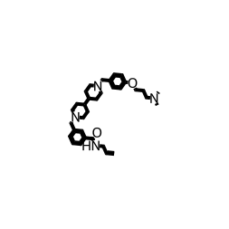 C=CCNC(=O)c1cccc(CN2CCC(C3CCN(Cc4ccc(OCCCN(C)C)cc4)CC3)CC2)c1